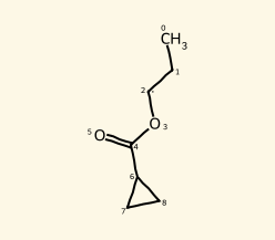 CC[CH]OC(=O)C1CC1